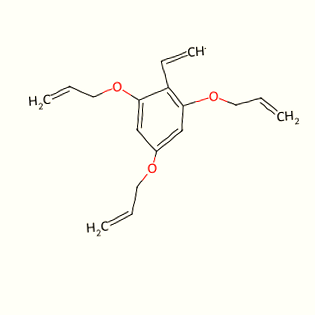 [CH]=Cc1c(OCC=C)cc(OCC=C)cc1OCC=C